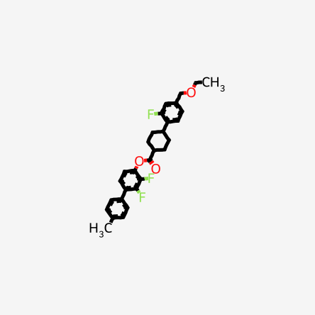 CCOCc1ccc(C2CCC(C(=O)Oc3ccc(-c4ccc(C)cc4)c(F)c3F)CC2)c(F)c1